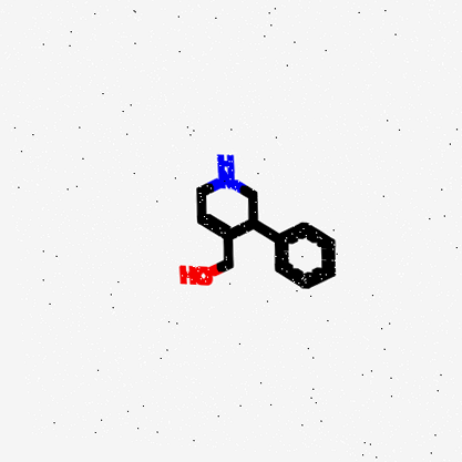 OCC1=CCNCC1c1ccccc1